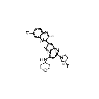 Cc1nc2ccc(F)cc2nc1-c1cc2nc(N3CC[C@@H](F)C3)cc(NC3CCOCC3)n2n1